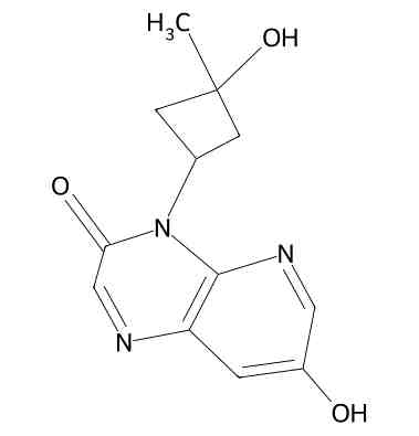 CC1(O)CC(n2c(=O)cnc3cc(O)cnc32)C1